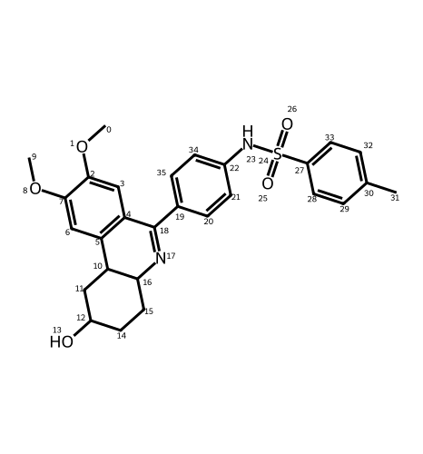 COc1cc2c(cc1OC)C1CC(O)CCC1N=C2c1ccc(NS(=O)(=O)c2ccc(C)cc2)cc1